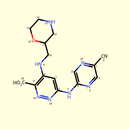 N#Cc1cnc(Nc2cc(NCC3CNCCO3)c(C(=O)O)nn2)cn1